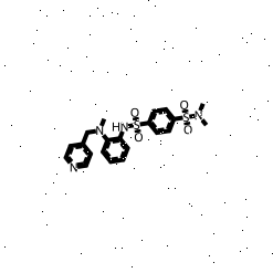 CN(Cc1ccncc1)c1ccccc1NS(=O)(=O)c1ccc(S(=O)(=O)N(C)C)cc1